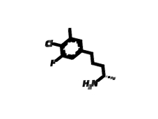 Cc1cc(CCC[C@H](C)N)cc(F)c1Cl